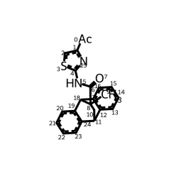 CC(=O)c1csc(NC(=O)C2(C)CC3c4ccccc4C2c2ccccc23)n1